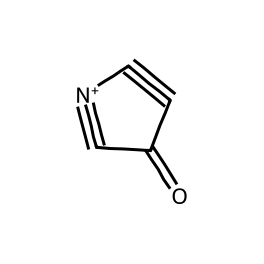 O=C1C#C[N+]#C1